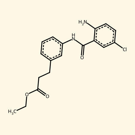 CCOC(=O)CCc1cccc(NC(=O)c2cc(Cl)ccc2N)c1